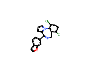 Clc1ccc(Cl)c2c1CN=C(c1ccc3ccoc3c1)c1cccn1-2